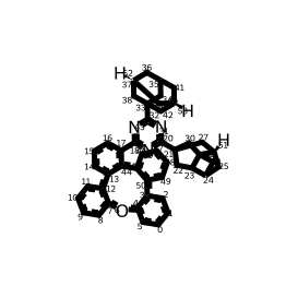 c1ccc2c(c1)oc1ccccc1c1cccc(-c3nc(C45CC6C7C[C@@H](C4)C6(C7)C5)nc(C45CC6C[C@H](C4)C[C@H](C6)C5)n3)c1c1ccccc21